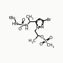 CC(Cn1nc(Br)cc1[C@H](C)NS(=O)(=O)NC(C)(C)C)OS(C)(=O)=O